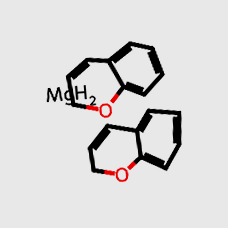 C1=Cc2ccccc2OC1.C1=Cc2ccccc2OC1.[MgH2]